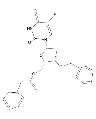 O=C(Cc1ccccc1)OC[C@@H]1O[C@H](n2cc(F)c(=O)[nH]c2=O)CC1OCc1ccccc1